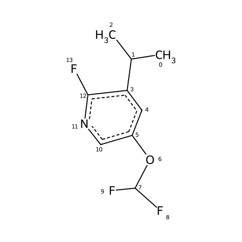 CC(C)c1cc(OC(F)F)cnc1F